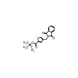 CC(C)(C)OC(=O)c1cc(CN2C(=O)c3ccccc3C2=O)cs1